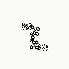 COc1ccc(N(c2ccccc2)c2cc3oc4cc5oc6cc(N(c7ccccc7)c7ccc(OC)c(OC)c7)c7ccccc7c6c5cc4c3c3ccccc23)cc1OC